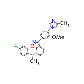 COc1cc(-c2noc3c(C(C)c4ccc(F)cc4)cccc23)ccc1-n1cnc(C)c1